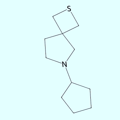 C1CCC(N2CCC3(CSC3)C2)C1